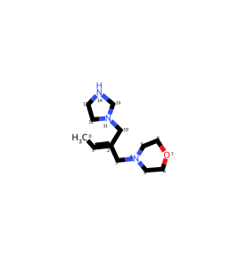 CC=C(CN1CCOCC1)CN1CCNC1